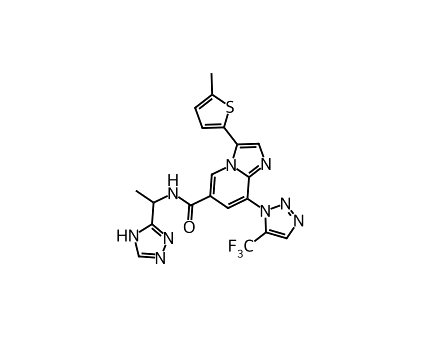 Cc1ccc(-c2cnc3c(-n4nncc4C(F)(F)F)cc(C(=O)NC(C)c4nnc[nH]4)cn23)s1